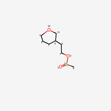 CS(=O)OCCC1CCCOC1